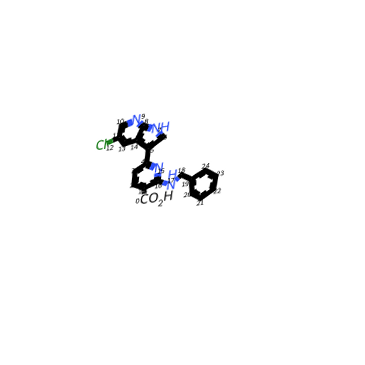 O=C(O)c1ccc(-c2c[nH]c3ncc(Cl)cc23)nc1NCc1ccccc1